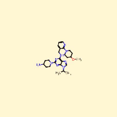 COC1CCN(c2ncccc2CNc2nc(N3CCC(N)CC3)nc3c2ncn3C(C)C)CC1